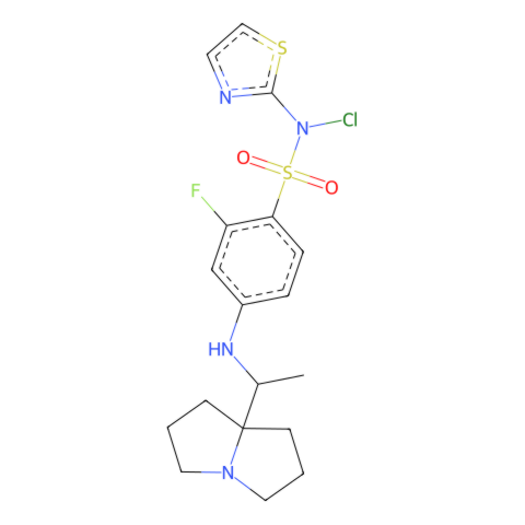 CC(Nc1ccc(S(=O)(=O)N(Cl)c2nccs2)c(F)c1)C12CCCN1CCC2